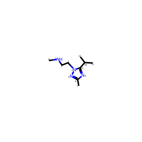 CNCCn1nc(C)nc1C(C)C